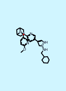 COc1ccc(CN2C3CC2CN(c2ccc(C4=CNN(NCC5CCCCC5)C4)cn2)C3)cn1